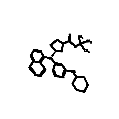 CC(C)(C)OC(=O)N1CC[C@@H](N(c2ccnc(NC3CCCCC3)c2)c2nccc3cnccc23)C1